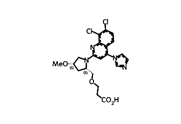 CO[C@H]1C[C@@H](COCCC(=O)O)N(c2cc(-n3ccnc3)c3ccc(Cl)c(Cl)c3n2)C1